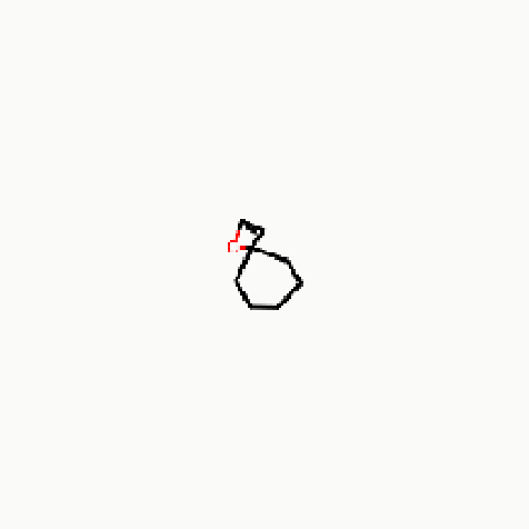 C1=CC2(CCCCC2)O1